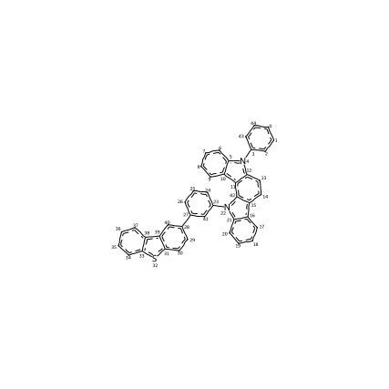 c1ccc(-n2c3ccccc3c3c2ccc2c4ccccc4n(-c4cccc(-c5ccc6sc7ccccc7c6c5)c4)c23)cc1